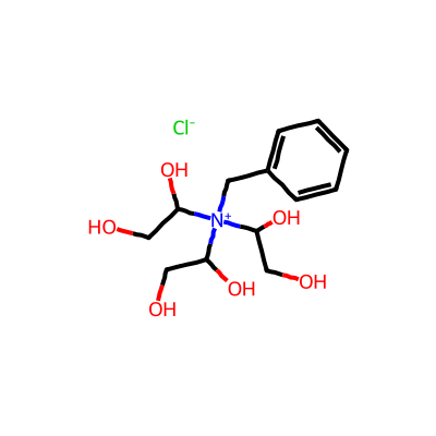 OCC(O)[N+](Cc1ccccc1)(C(O)CO)C(O)CO.[Cl-]